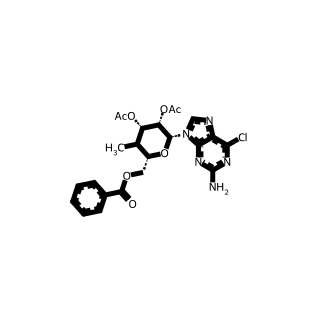 CC(=O)O[C@@H]1[C@H](n2cnc3c(Cl)nc(N)nc32)O[C@H](COC(=O)c2ccccc2)C(C)[C@@H]1OC(C)=O